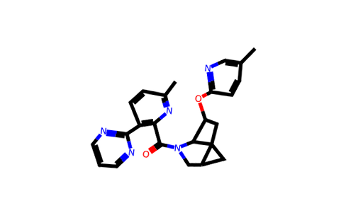 Cc1ccc(OC2CC34CC3CN(C(=O)c3nc(C)ccc3-c3ncccn3)C24)nc1